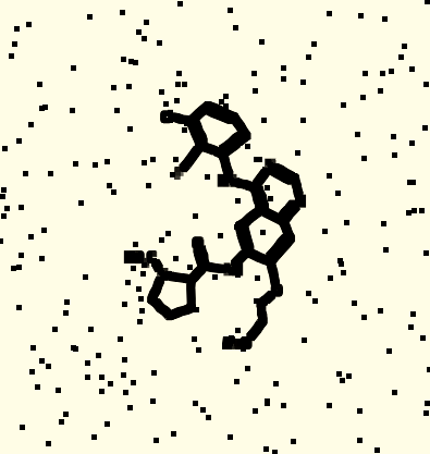 COCCOc1cc2ncnc(Nc3cccc(Cl)c3F)c2cc1NC(=O)C1CCCN1C(=O)O